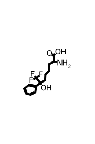 N[C@@H](CCCCC(O)(c1ccccc1)C(F)(F)F)C(=O)O